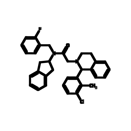 Cc1c(Cl)cccc1C1c2ccccc2CCN1CC(=O)N(Cc1ccccc1F)C1Cc2ccccc2C1